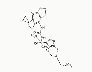 CS(N)(=O)(NC(=O)Nc1c2c(nc3c1CCC31CC1)CCC2)c1cnn2c1OCC(CN)C2